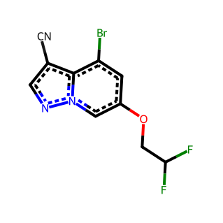 N#Cc1cnn2cc(OCC(F)F)cc(Br)c12